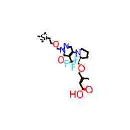 C/C(=C\C(=O)O)COC[C@@H]1CCCN1c1cnn(COCC[Si](C)(C)C)c(=O)c1C(F)(F)F